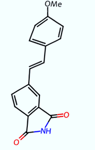 COc1ccc(C=Cc2ccc3c(c2)C(=O)NC3=O)cc1